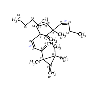 C=C(C(/C=C\C(=C)C1(C)C(=C)C1(C)N)CC)C(C)(/C=C\CC)CCCCC